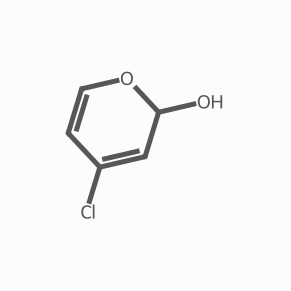 OC1C=C(Cl)C=CO1